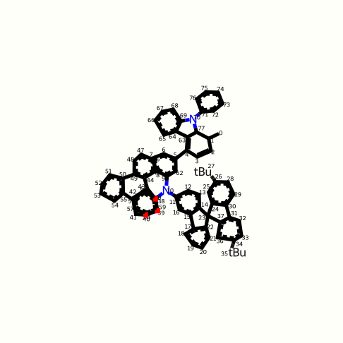 CC1C=CC(c2cccc(N(c3ccc4c(c3)-c3ccccc3C43c4cc(C(C)(C)C)ccc4-c4ccc(C(C)(C)C)cc43)c3ccccc3-c3ccccc3-c3ccccc3-c3ccccc3)c2)=C2c3ccccc3N(c3ccccc3)C21